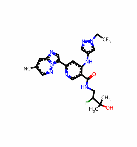 CC(C)(O)C(F)CNC(=O)c1cnc(-c2cnc3cc(C#N)cnn23)cc1Nc1cnn(CC(F)(F)F)c1